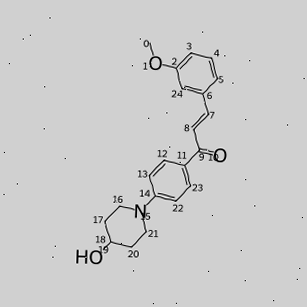 COc1cccc(/C=C/C(=O)c2ccc(N3CCC(O)CC3)cc2)c1